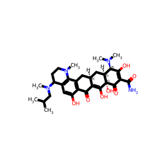 CC(C)CN(C)C1CCN(C)c2c1cc(O)c1c2C[C@H]2C[C@H]3[C@@H](N(C)C)C(O)=C(C(N)=O)C(=O)[C@@]3(O)C(O)=C2C1=O